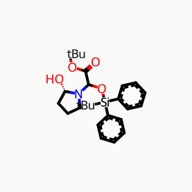 CC(C)(C)OC(=O)C(O[Si](c1ccccc1)(c1ccccc1)C(C)(C)C)N1CCC[C@@H]1O